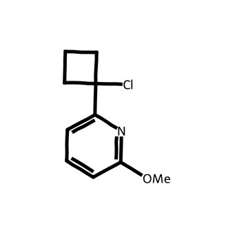 COc1cccc(C2(Cl)CCC2)n1